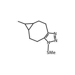 CSn1nnc2c1CCC1C(C)C1CC2